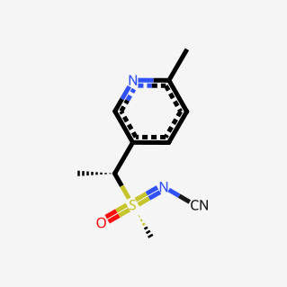 Cc1ccc([C@@H](C)[S@](C)(=O)=NC#N)cn1